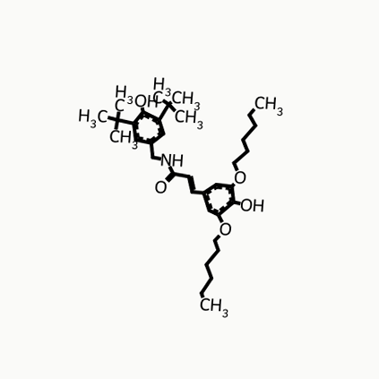 CCCCCCOc1cc(/C=C/C(=O)NCc2cc(C(C)(C)C)c(O)c(C(C)(C)C)c2)cc(OCCCCCC)c1O